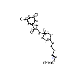 CCCCC/C=C/CCCN1CCC(F)(CNC(=O)c2cc(Cl)cc(Cl)c2)CC1